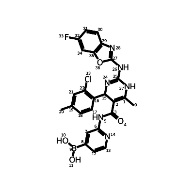 CC1=C(C(=O)Nc2cc(B(O)O)ccn2)C(c2ccc(C)cc2Cl)N=C(Nc2nc3ccc(F)cc3o2)N1